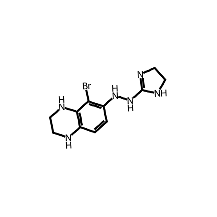 Brc1c(NNC2=NCCN2)ccc2c1NCCN2